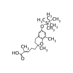 C/C(=C\CCC1(C)CCc2cc(O[Si](C)(C)C(C)(C)C)cc(C)c2O1)C(=O)O